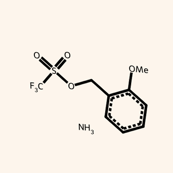 COc1ccccc1COS(=O)(=O)C(F)(F)F.N